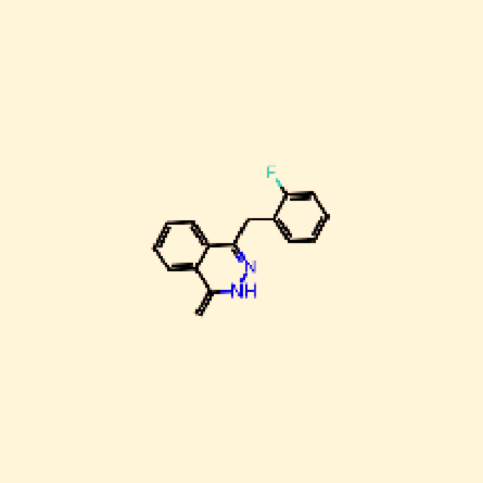 C=C1NN=C(Cc2ccccc2F)c2ccccc21